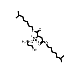 CC(C)CCCCCOC(=O)CC(C(=O)OCCCCCC(C)C)S(=O)(=O)O.NCCO